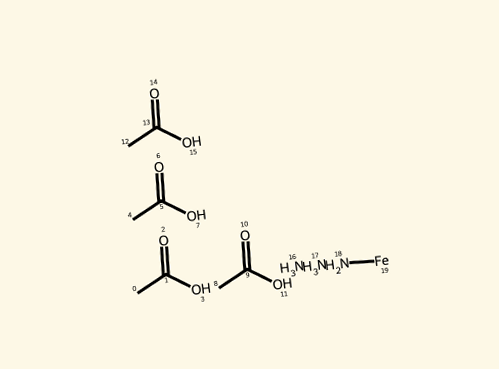 CC(=O)O.CC(=O)O.CC(=O)O.CC(=O)O.N.N.[NH2][Fe]